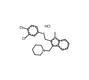 Cl.Cn1c(CSc2ccc(Cl)c(Cl)c2)c(CN2CCCCC2)c2ccccc21